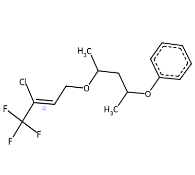 CC(CC(C)Oc1ccccc1)OC/C=C(\Cl)C(F)(F)F